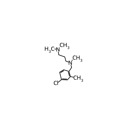 Cc1cc(Cl)ccc1CN(C)CCCN(C)C